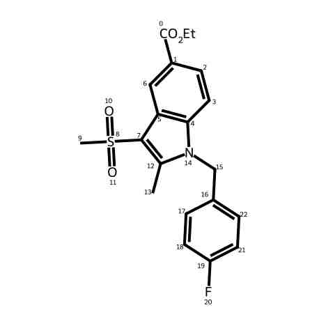 CCOC(=O)c1ccc2c(c1)c(S(C)(=O)=O)c(C)n2Cc1ccc(F)cc1